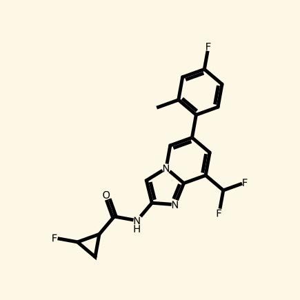 Cc1cc(F)ccc1-c1cc(C(F)F)c2nc(NC(=O)C3CC3F)cn2c1